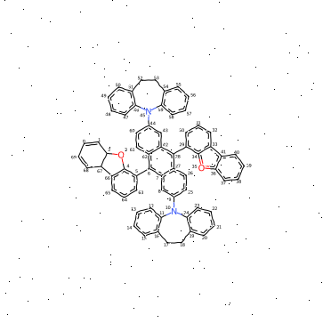 C1=CC2Oc3c(-c4c5cc(N6c7ccccc7CCc7ccccc76)ccc5c(-c5cccc6c5oc5ccccc56)c5cc(N6c7ccccc7CCc7ccccc76)ccc45)cccc3C2C=C1